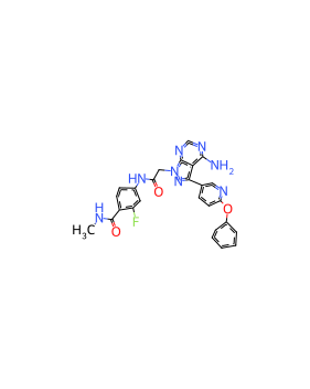 CNC(=O)c1ccc(NC(=O)Cn2nc(-c3ccc(Oc4ccccc4)nc3)c3c(N)ncnc32)cc1F